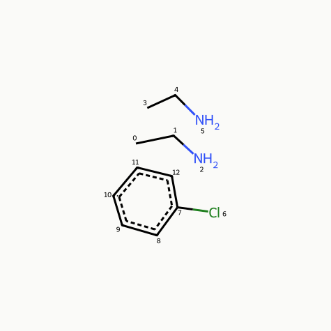 CCN.CCN.Clc1cc[c]cc1